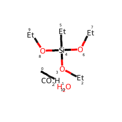 CC(=O)O.CCO[Si](CC)(OCC)OCC.O